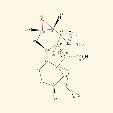 C=C1C[C@]23C[C@H]1CCC2[C@@]12C[C@@H]4O[C@@H]4[C@@](C)(C(=O)O1)[C@H]2[C@@H]3C(=O)O